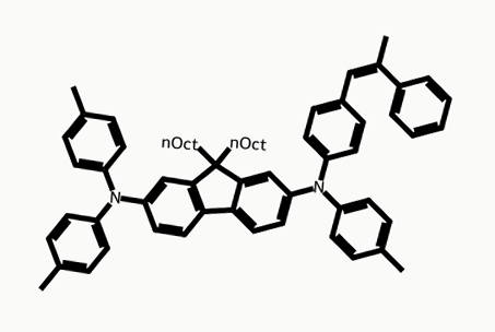 CCCCCCCCC1(CCCCCCCC)c2cc(N(c3ccc(C)cc3)c3ccc(C)cc3)ccc2-c2ccc(N(c3ccc(C)cc3)c3ccc(C=C(C)c4ccccc4)cc3)cc21